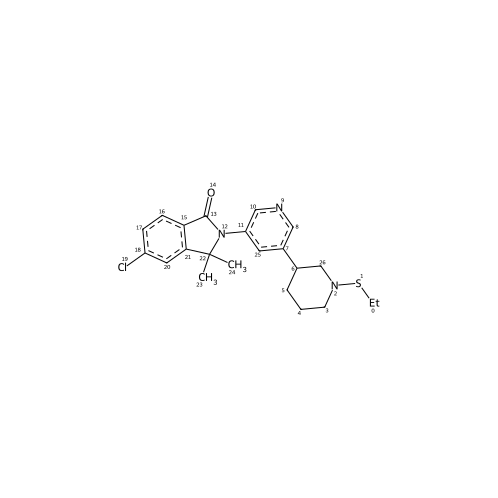 CCSN1CCCC(c2cncc(N3C(=O)c4ccc(Cl)cc4C3(C)C)c2)C1